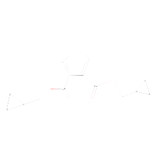 O=C(OCC1CC1)c1cocc1C(=O)OCC1CC1